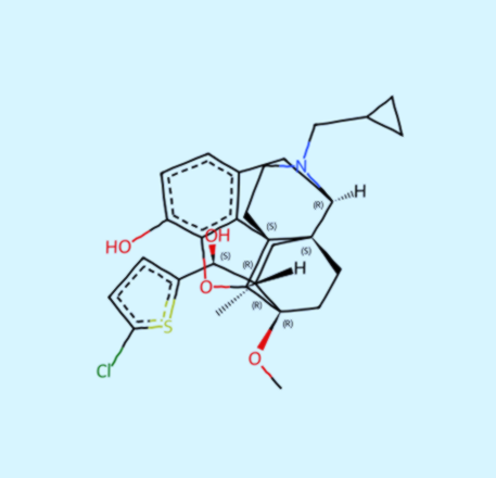 CO[C@]12CC[C@@]3(C[C@]1(C)[C@H](O)c1ccc(Cl)s1)[C@H]1Cc4ccc(O)c5c4[C@@]3(CCN1CC1CC1)[C@H]2O5